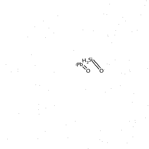 O=[SiH2].[O]=[Pb]